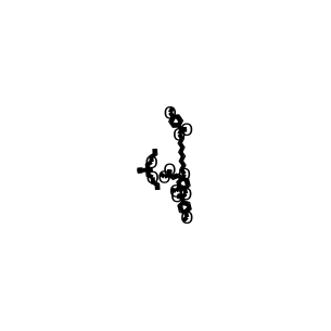 C#CC(C)(COCC=C)COCC=C.COC(=O)C=CC1(OCCCCCCCCOC(=O)c2ccc(OC)cc2)C=CC(OC(=O)c2ccc(OC)cc2)=C(OC)C1